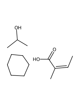 C1CCCCC1.CC(C)O.CC=C(C)C(=O)O